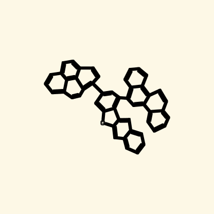 c1ccc2cc3c(cc2c1)oc1cc(-c2ccc4ccc5cccc6ccc2c4c56)cc(-c2cc4c5ccccc5ccc4c4ccccc24)c13